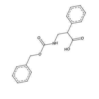 O=C(NCC(C(=O)O)c1ccccc1)OCc1ccccc1